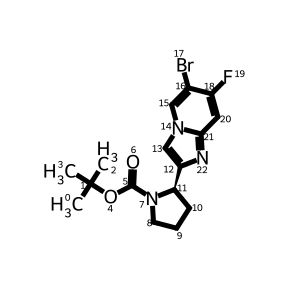 CC(C)(C)OC(=O)N1CCC[C@@H]1c1cn2cc(Br)c(F)cc2n1